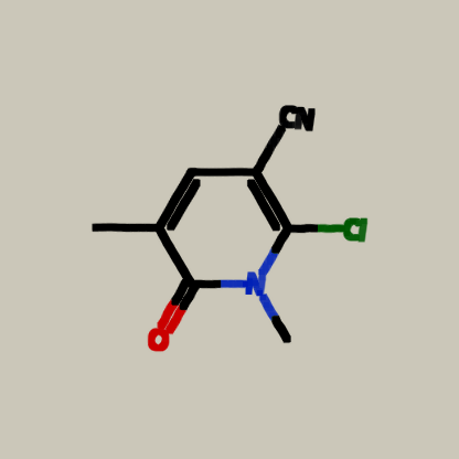 Cc1cc(C#N)c(Cl)n(C)c1=O